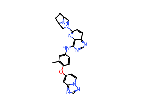 Cc1cc(Nc2ncnc3ccc(N4CC5CCC(C4)N5)nc23)ccc1Oc1ccn2ncnc2c1